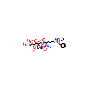 CC(C)(C)OC(=O)NC(CCCCN(C=O)OCc1ccccc1)C(=O)NCC(O)C(O)C(O)C(O)CO